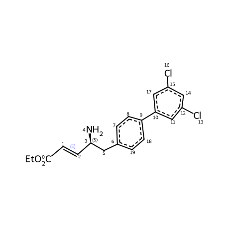 CCOC(=O)/C=C/[C@@H](N)Cc1ccc(-c2cc(Cl)cc(Cl)c2)cc1